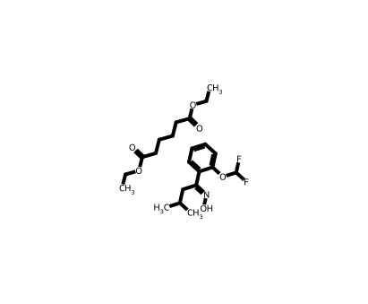 CC(C)CC(=NO)c1ccccc1OC(F)F.CCOC(=O)CCCCC(=O)OCC